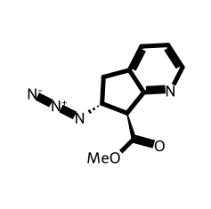 COC(=O)[C@@H]1c2ncccc2C[C@H]1N=[N+]=[N-]